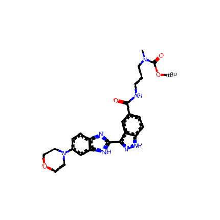 CN(CCCNC(=O)c1ccc2[nH]nc(-c3nc4ccc(N5CCOCC5)cc4[nH]3)c2c1)C(=O)OC(C)(C)C